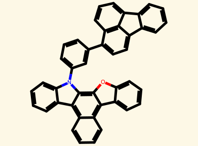 c1cc(-c2ccc3c4c(cccc24)-c2ccccc2-3)cc(-n2c3ccccc3c3c4ccccc4c4c5ccccc5oc4c32)c1